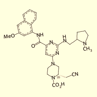 COc1cc(NC(=O)c2cc(N3CCN(C(=O)O)[C@@H](CC#N)C3)nc(NCC3CCCN3C)n2)c2ccccc2c1